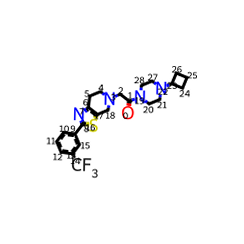 O=C(CN1CCc2nc(-c3cccc(C(F)(F)F)c3)sc2C1)N1CCN(C2CCC2)CC1